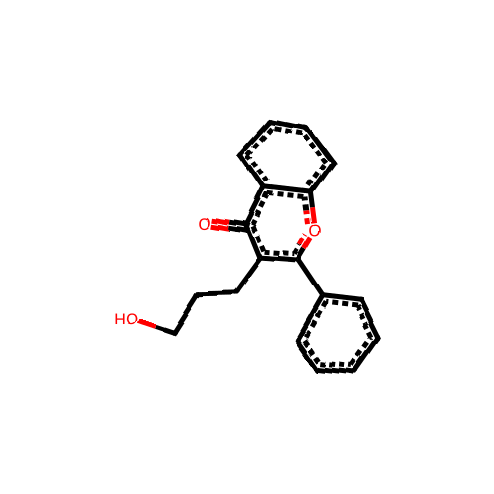 O=c1c(CCCO)c(-c2ccccc2)oc2ccccc12